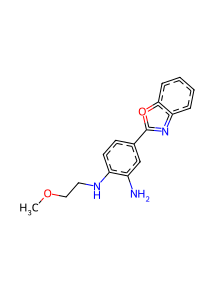 COCCNc1ccc(-c2nc3ccccc3o2)cc1N